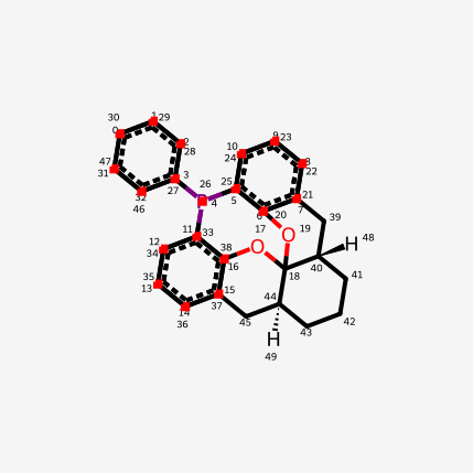 c1ccc(P(c2ccccc2)c2cccc3c2OC24Oc5c(cccc5P(c5ccccc5)c5ccccc5)C[C@@H]2CCC[C@H]4C3)cc1